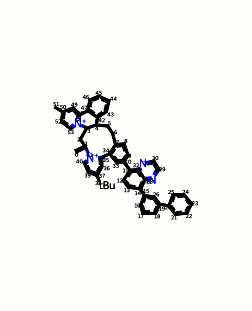 C=C1CC2C(CCc3ccc(-c4ccc(-c5cccc(-c6ccccc6)c5)c5nccnc45)cc3-c3cc(C(C)(C)C)cc[n+]31)c1ccccc1-c1cc(C)cc[n+]12